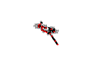 C=C=C=C=C=C=C=C=C=C=C=C=C=C=C(C(=O)OCC(O)COC(=O)CC(C)O[C@@H]1OC(COC(C)=O)[C@@H](O)[C@H](O)C1O[C@@H]1OC(COC(C)=O)[C@@H](O)[C@H](O)C1O)C(C)O[C@@H]1OC(CC)[C@@H](O)[C@H](O)C1O[C@@H]1OC(CC)[C@@H](O)[C@H](O)C1O